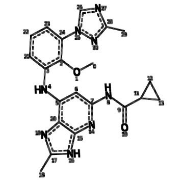 COc1c(Nc2cc(NC(=O)C3CC3)nc3[nH]c(C)nc23)cccc1-n1cnc(C)n1